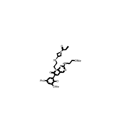 C=CC(=O)N1CC(NCCn2c(=O)c(-c3cc(OC)cc(OC)c3Cl)cc3cnc(NCCOC)nc32)C1